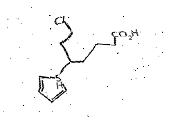 O=C(O)CCCC(CCCl)[SH]1C=CC=C1